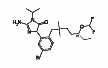 CC[C@H](CCC(C)(C)Cc1ccc(Br)cc1C1N=C(N)N(C(C)C)C1=O)OC(F)F